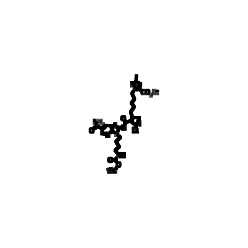 CCOC(=O)c1cc(C)nn1CCCCCc1cnn(CC)c1C(=O)/N=c1\sc2cc(C(N)=O)cnc2n1CCCCNC(=O)OC(C)(C)C